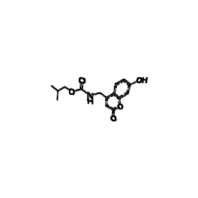 CC(C)COC(=O)NCc1cc(=O)oc2cc(O)ccc12